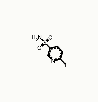 NS(=O)(=O)c1ccc(I)nc1